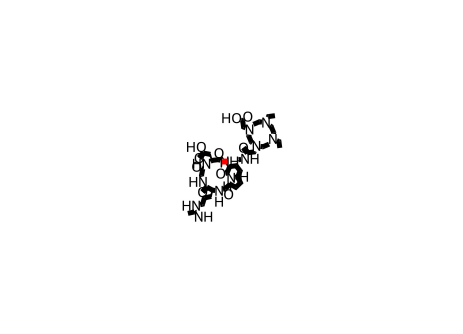 CCN1CCN(CC)CCN(CC(=O)NC[C@@H]2C[C@@H]3CC[C@H]4C(=O)N[C@@H](CCCNC(C)=N)C(=O)NCC(=O)N[C@@H](CC(=O)O)C(=O)N[C@H]2C(=O)N34)CCN(CC(=O)O)CC1